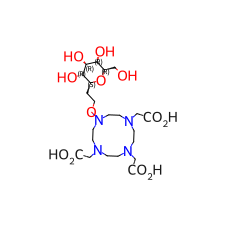 O=C(O)CN1CCN(CC(=O)O)CCN(OCC[C@@H]2O[C@H](CO)[C@H](O)[C@H](O)[C@H]2O)CCN(CC(=O)O)CC1